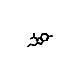 CCCc1cc2cc(C)ccc2n1C(C)C